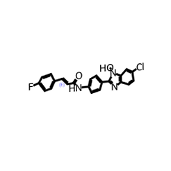 O=C(/C=C/c1ccc(F)cc1)Nc1ccc(-c2nc3ccc(Cl)cc3n2O)cc1